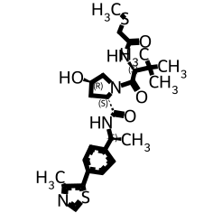 CSCC(=O)N[C@H](C(=O)N1C[C@H](O)C[C@H]1C(=O)N[C@@H](C)c1ccc(-c2scnc2C)cc1)C(C)(C)C